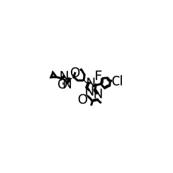 Cc1nc2c(-c3ccc(Cl)cc3F)nc([C@@H]3CCO[C@@H](c4noc(C5CC5)n4)C3)cn2c(=O)c1C